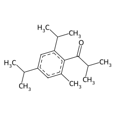 Cc1cc(C(C)C)cc(C(C)C)c1C(=O)C(C)C